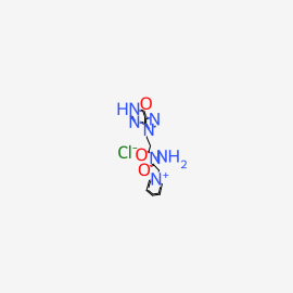 NN(C(=O)CCn1cnc2c(=O)[nH]cnc21)C(=O)C[n+]1ccccc1.[Cl-]